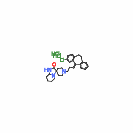 Cl.Cl.O=C1NC2CCCCN2C12CCN(CCC=C1c3ccccc3CCc3ccc(Cl)cc31)CC2